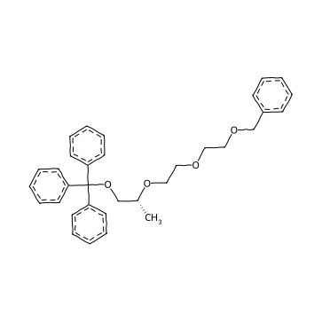 C[C@H](COC(c1ccccc1)(c1ccccc1)c1ccccc1)OCCOCCOCc1ccccc1